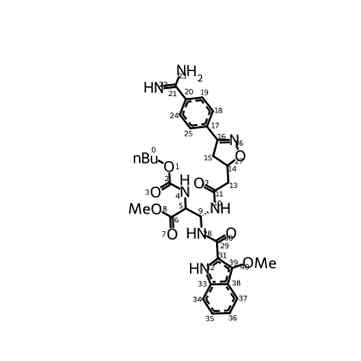 CCCCOC(=O)NC(C(=O)OC)[C@H](NC(=O)CC1CC(c2ccc(C(=N)N)cc2)=NO1)NC(=O)c1[nH]c2ccccc2c1OC